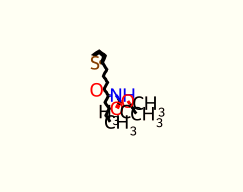 CCCCC(NC(=O)OC(C)(C)C)C(=O)CCCc1cccs1